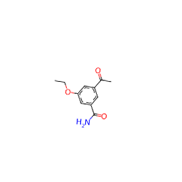 CCOc1cc(C(C)=O)cc(C(N)=O)c1